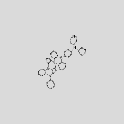 c1ccc(N(c2ccncc2)c2ccc(B3c4ccccc4[Si]4(c5ccccc53)c3ccccc3B3c5ccccc5N(c5ccccc5)c5cccc4c53)cc2)cc1